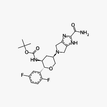 CC(C)(C)OC(=O)N[C@H]1C[C@@H](N2Cc3nc(C(N)=O)[nH]c3C2)CO[C@@H]1c1cc(F)ccc1F